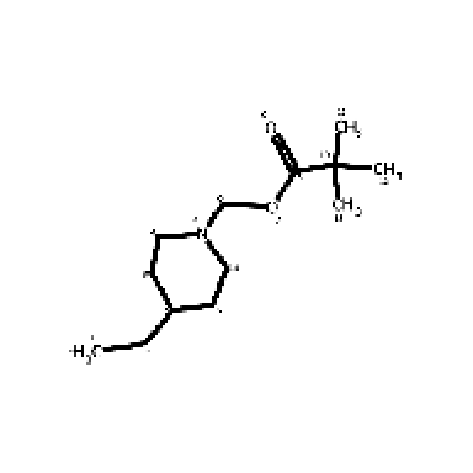 [CH2]CC1CCN(COC(=O)C(C)(C)C)CC1